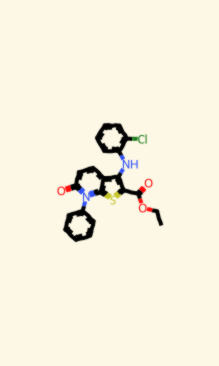 CCOC(=O)c1sc2c(ccc(=O)n2-c2ccccc2)c1Nc1ccccc1Cl